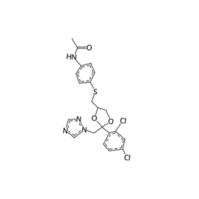 CC(=O)Nc1ccc(SCC2COC(Cn3cncn3)(c3ccc(Cl)cc3Cl)O2)cc1